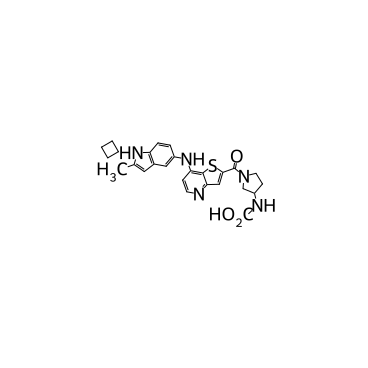 C1CCC1.Cc1cc2cc(Nc3ccnc4cc(C(=O)N5CCC(NC(=O)O)C5)sc34)ccc2[nH]1